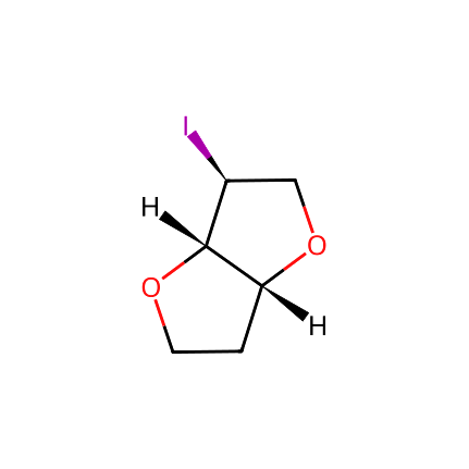 I[C@H]1CO[C@@H]2CCO[C@H]12